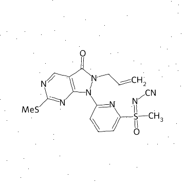 C=CCn1c(=O)c2cnc(SC)nc2n1-c1cccc(S(C)(=O)=NC#N)n1